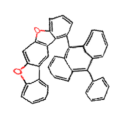 c1ccc(-c2c3ccccc3c(-c3cccc4oc5cc6oc7ccccc7c6cc5c34)c3ccccc23)cc1